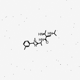 CC(=N)/C(=C\NC(C)C)C(=O)NC(C)C1=NC(c2cccc(C)c2)N1C